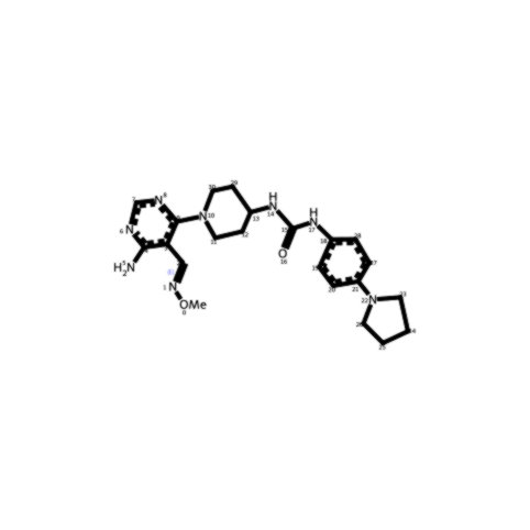 CO/N=C/c1c(N)ncnc1N1CCC(NC(=O)Nc2ccc(N3CCCC3)cc2)CC1